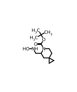 CC(C)(C)OC(=O)N1CCC2(CC2)CC1CNO